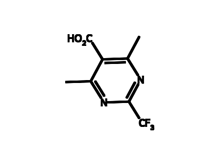 Cc1nc(C(F)(F)F)nc(C)c1C(=O)O